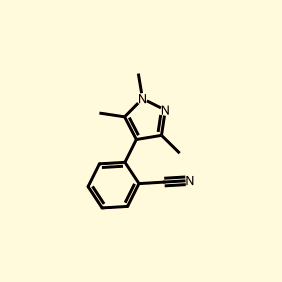 Cc1nn(C)c(C)c1-c1ccccc1C#N